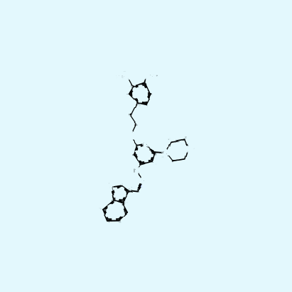 COc1ccc(CCOc2cc(N/N=C\c3c[nH]c4ccccc34)cc(N3CCOCC3)n2)cc1OC